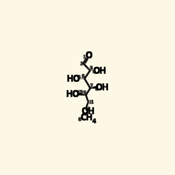 C.O=C[C@H](O)[C@@H](O)[C@@H](O)[C@H](O)CO